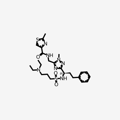 CCN(CC)CCCS(=O)(=O)N[C@H](CCc1ccccc1)c1nc(CNC(=O)c2csc(C)n2)n(C)n1